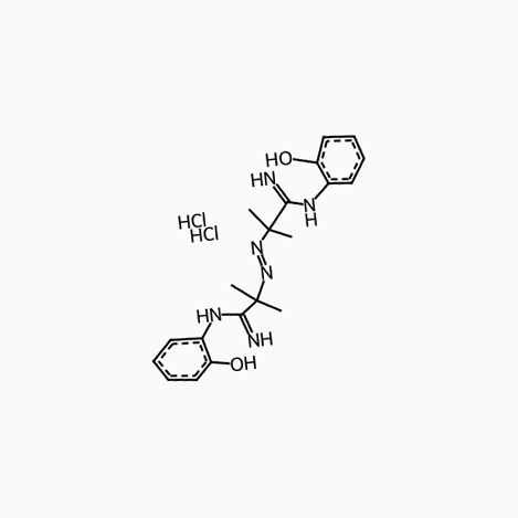 CC(C)(N=NC(C)(C)C(=N)Nc1ccccc1O)C(=N)Nc1ccccc1O.Cl.Cl